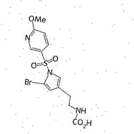 COc1ccc(S(=O)(=O)n2cc(CCNC(=O)O)cc2Br)cn1